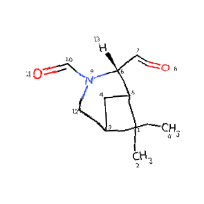 CC1(C)C2CC1[C@@H](C=O)N(C=O)C2